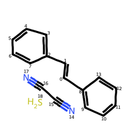 C(=Cc1ccccc1)c1ccccc1.N#CC#N.S